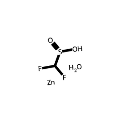 O.O=S(O)C(F)F.[Zn]